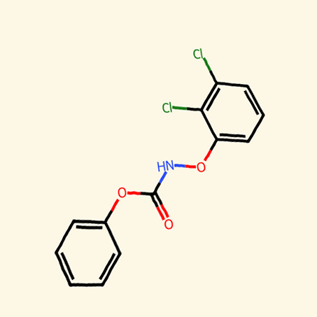 O=C(NOc1cccc(Cl)c1Cl)Oc1ccccc1